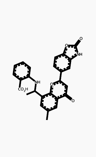 Cc1cc(C(C)Nc2ccccc2C(=O)O)c2oc(-c3ccc4oc(=O)[nH]c4c3)cc(=O)c2c1